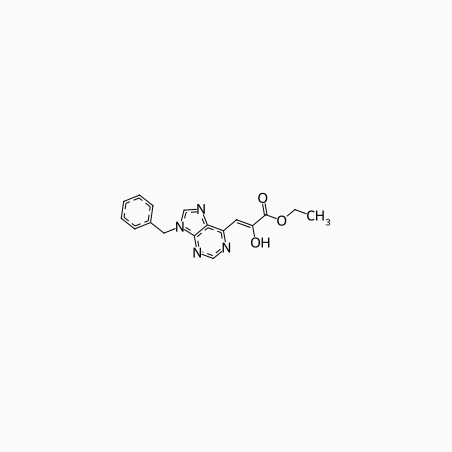 CCOC(=O)/C(O)=C/c1ncnc2c1ncn2Cc1ccccc1